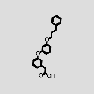 O=C(O)Cc1cccc(Oc2cccc(OCCCc3ccccc3)c2)c1